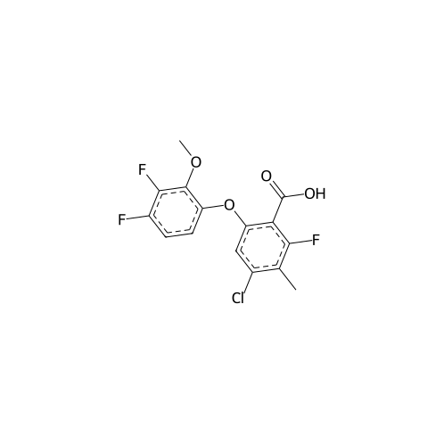 COc1c(Oc2cc(Cl)c(C)c(F)c2C(=O)O)ccc(F)c1F